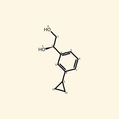 OC[C@H](O)c1cccc(C2CC2)c1